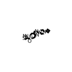 O=C(c1csnn1)N1CCc2cnc(N3CCN(C4CCC4)CC3)nc2CC1